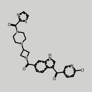 O=C(c1ccc(Cl)nc1)c1c[nH]c2cc(C(=O)N3CC(N4CCN(C(=O)c5nccs5)CC4)C3)ccc12